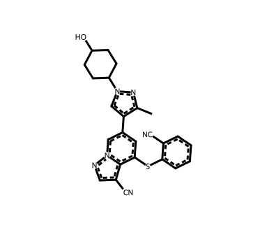 Cc1nn(C2CCC(O)CC2)cc1-c1cc(Sc2ccccc2C#N)c2c(C#N)cnn2c1